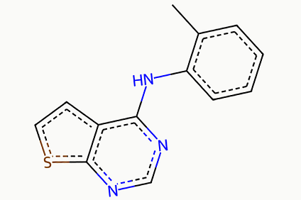 Cc1ccccc1Nc1ncnc2sccc12